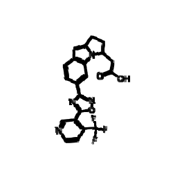 O=C(O)CC1CCc2cc3ccc(-c4noc(-c5cnccc5C(F)(F)F)n4)cc3n21